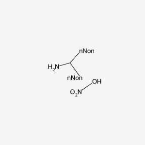 CCCCCCCCCC(N)CCCCCCCCC.O=[N+]([O-])O